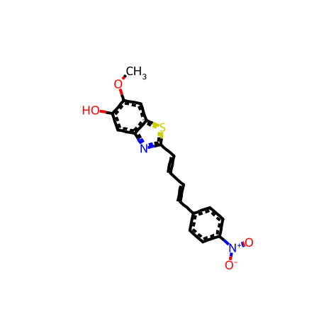 COc1cc2sc(C=CC=Cc3ccc([N+](=O)[O-])cc3)nc2cc1O